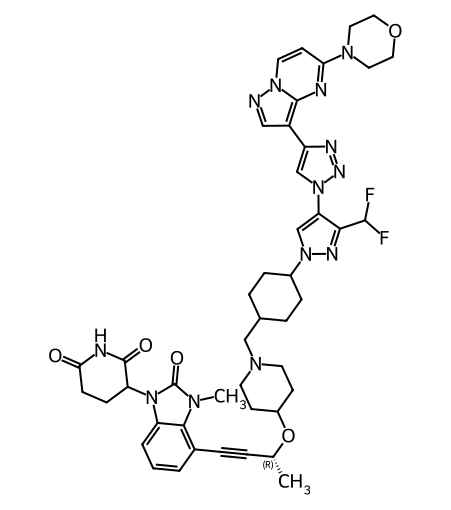 C[C@H](C#Cc1cccc2c1n(C)c(=O)n2C1CCC(=O)NC1=O)OC1CCN(CC2CCC(n3cc(-n4cc(-c5cnn6ccc(N7CCOCC7)nc56)nn4)c(C(F)F)n3)CC2)CC1